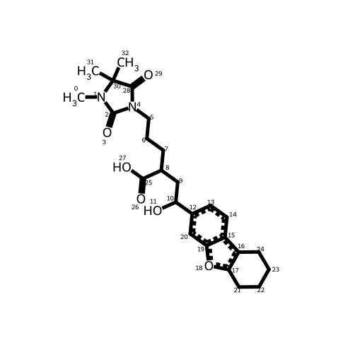 CN1C(=O)N(CCCC(CC(O)c2ccc3c4c(oc3c2)CCCC4)C(=O)O)C(=O)C1(C)C